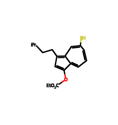 CCOC(=O)Oc1cc(CCC(C)C)c2cc(S)cccc1-2